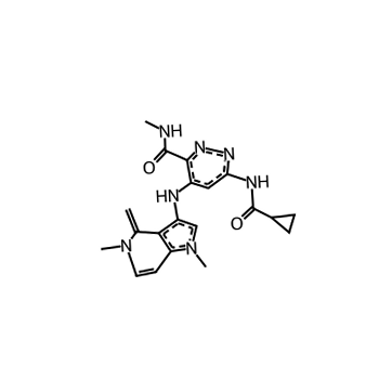 C=C1c2c(Nc3cc(NC(=O)C4CC4)nnc3C(=O)NC)cn(C)c2C=CN1C